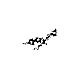 CCCOCCn1c(=O)c(NCCNc2ccnc(C)n2)nc2ncc(-c3ccc(OC)nc3)cc21